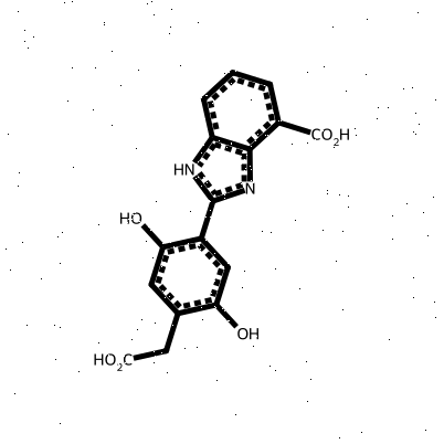 O=C(O)Cc1cc(O)c(-c2nc3c(C(=O)O)cccc3[nH]2)cc1O